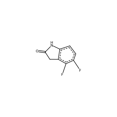 O=C1Cc2c(ccc(F)c2F)N1